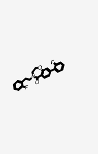 O=C1c2ccc(-c3ccccc3F)cc2OCCN1CCc1ccccc1F